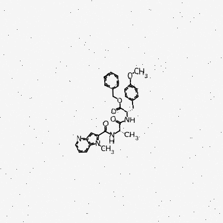 COc1ccc(C[C@H](NC(=O)[C@H](C)NC(=O)c2cc3ncccc3n2C)C(=O)OCc2ccccc2)cc1